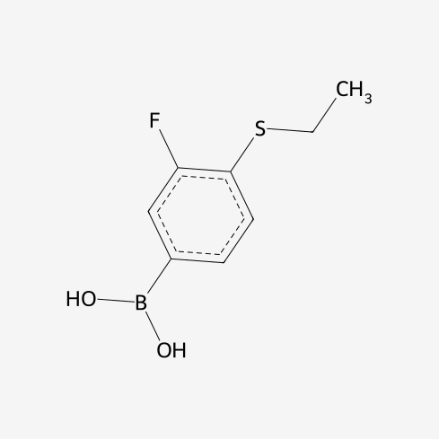 CCSc1ccc(B(O)O)cc1F